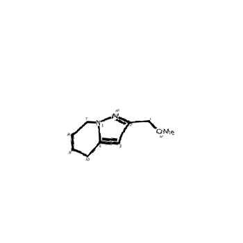 COCc1cc2n(n1)CCCC2